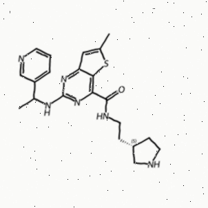 Cc1cc2nc(NC(C)c3cccnc3)nc(C(=O)NCC[C@@H]3CCNC3)c2s1